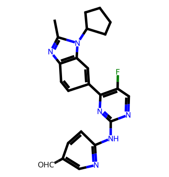 Cc1nc2ccc(-c3nc(Nc4ccc(C=O)cn4)ncc3F)cc2n1C1CCCC1